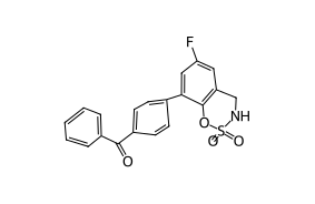 O=C(c1ccccc1)c1ccc(-c2cc(F)cc3c2OS(=O)(=O)NC3)cc1